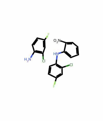 Nc1ccc(F)cc1Cl.O=[N+]([O-])c1ccccc1Nc1ccc(F)cc1Cl